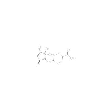 O=C(O)C1CCC(CN2C(=O)C=C(Cl)S2(O)O)CC1